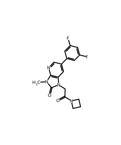 Cn1c(=O)n(CC(=O)N2CCC2)c2cc(-c3cc(F)cc(F)c3)cnc21